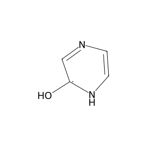 O[C]1C=NC=CN1